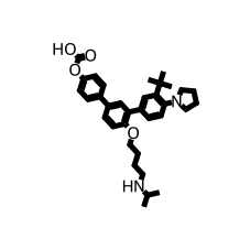 CC(C)NCCCCOc1ccc(-c2ccc(OC(=O)O)cc2)cc1-c1ccc(N2CCCC2)c(C(C)(C)C)c1